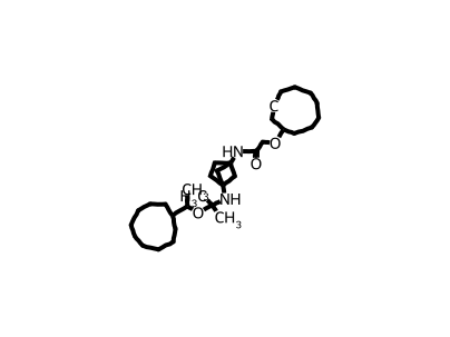 CC(OC(C)(C)NC12CCC(NC(=O)COC3CCCCCCCCC3)(C1)C2)C1CCCCCCCCC1